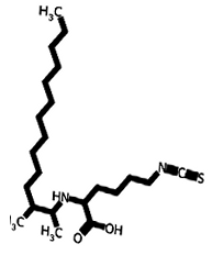 CCCCCCCCCCCC(C)C(C)NC(CCCCN=C=S)C(=O)O